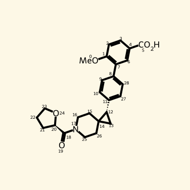 COc1ccc(C(=O)O)cc1-c1ccc([C@@H]2CC23CCN(C(=O)[C@H]2CCCO2)CC3)cc1